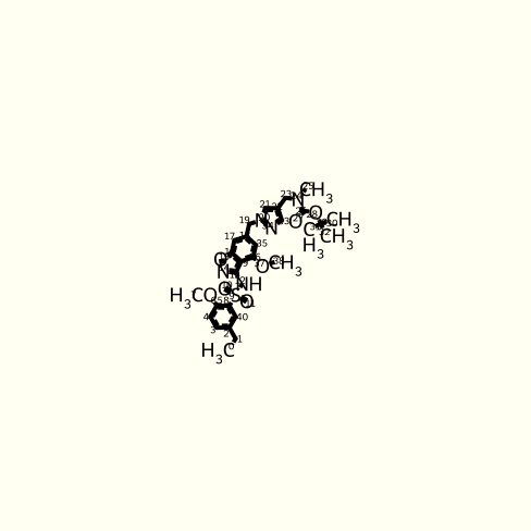 CCc1ccc(OC)c(S(=O)(=O)Nc2noc3cc(Cn4cc(CN(C)C(=O)OC(C)(C)C)cn4)cc(OC)c23)c1